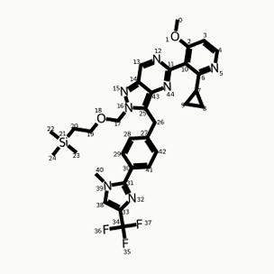 COc1ccnc(C2CC2)c1-c1ncc2nn(COCC[Si](C)(C)C)c(Cc3ccc(-c4nc(C(F)(F)F)cn4C)cc3)c2n1